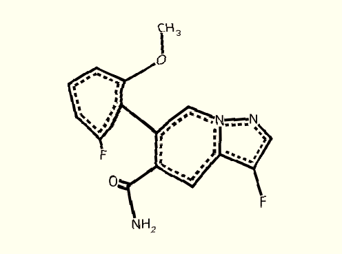 COc1cccc(F)c1-c1cn2ncc(F)c2cc1C(N)=O